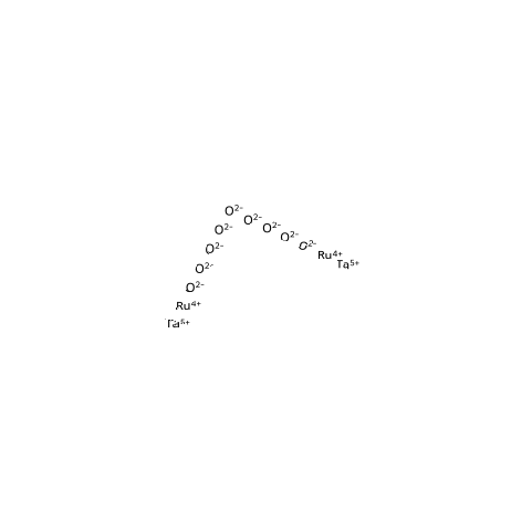 [O-2].[O-2].[O-2].[O-2].[O-2].[O-2].[O-2].[O-2].[O-2].[Ru+4].[Ru+4].[Ta+5].[Ta+5]